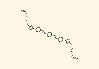 CCCCOCCOCCc1ccc(-c2ccc(/C=C/c3ccc(/C=C/c4ccc(-c5ccc(CCOCCOCCCC)s5)cc4)cc3)cc2)s1